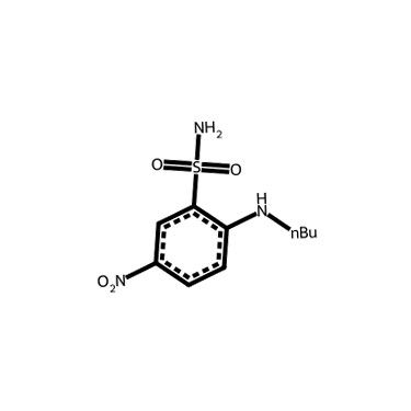 CCCCNc1ccc([N+](=O)[O-])cc1S(N)(=O)=O